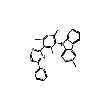 Cc1ccc2c(c1)c1ccccc1n2-c1c(C)cc(C)c(-c2ncnc(-c3ccccc3)n2)c1C